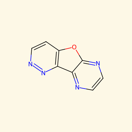 c1cc2oc3nccnc3c2nn1